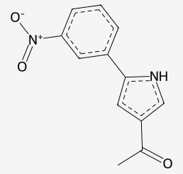 CC(=O)c1c[nH]c(-c2cccc([N+](=O)[O-])c2)c1